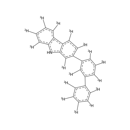 [2H]c1c([2H])c([2H])c(-c2c([2H])c([2H])c([2H])c(-c3c([2H])c([2H])c4c([nH]c5c([2H])c([2H])c([2H])c([2H])c54)c3[2H])c2[2H])c([2H])c1[2H]